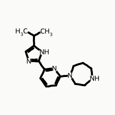 CC(C)c1cnc(-c2cccc(N3CCCNCC3)n2)[nH]1